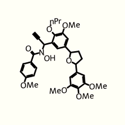 C#CC(c1cc(C2CCC(c3cc(OC)c(OC)c(OC)c3)O2)cc(OC)c1OCCC)N(O)C(=O)c1ccc(OC)cc1